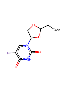 CC(=O)OCC1OCC(n2cc(I)c(=O)[nH]c2=O)O1